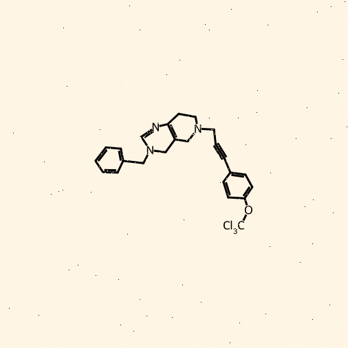 ClC(Cl)(Cl)Oc1ccc(C#CCN2CCC3=C(CN(Cc4ccccc4)C=N3)C2)cc1